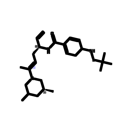 C=C[C@@H](C/C=C(\C)N1CC(C)C[C@@H](C)C1)NC(=O)C1=CCC(NSC(C)(C)C)C=C1